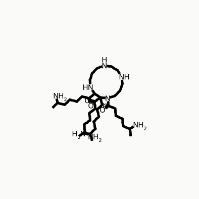 CC(N)CCCCC(=O)C1NCCCNCCNCCCN(C(=O)CCCCC(C)N)C1(C(=O)CCCCC(C)N)C(=O)CCCCC(C)N